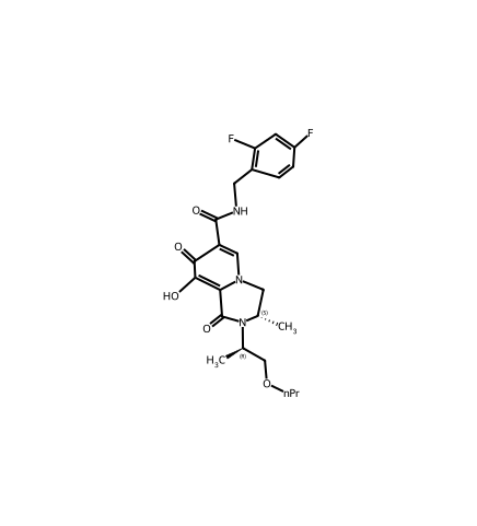 CCCOC[C@@H](C)N1C(=O)c2c(O)c(=O)c(C(=O)NCc3ccc(F)cc3F)cn2C[C@@H]1C